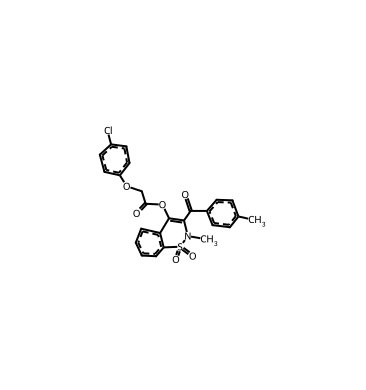 Cc1ccc(C(=O)C2=C(OC(=O)COc3ccc(Cl)cc3)c3ccccc3S(=O)(=O)N2C)cc1